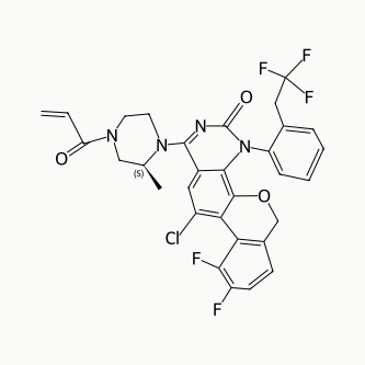 C=CC(=O)N1CCN(c2nc(=O)n(-c3ccccc3CC(F)(F)F)c3c4c(c(Cl)cc23)-c2c(ccc(F)c2F)CO4)[C@@H](C)C1